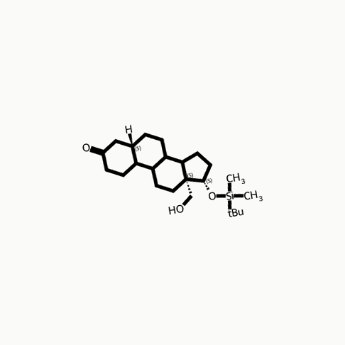 CC(C)(C)[Si](C)(C)O[C@H]1CCC2C3CC[C@H]4CC(=O)CCC4C3CC[C@@]21CO